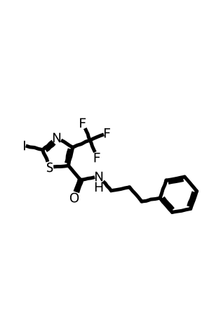 O=C(NCCCc1ccccc1)c1sc(I)nc1C(F)(F)F